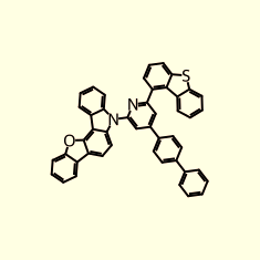 c1ccc(-c2ccc(-c3cc(-c4cccc5sc6ccccc6c45)nc(-n4c5ccccc5c5c6oc7ccccc7c6ccc54)c3)cc2)cc1